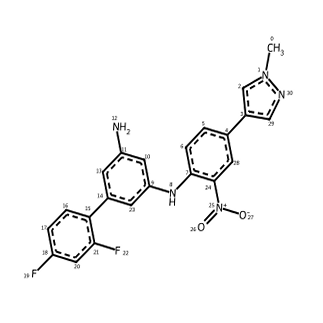 Cn1cc(-c2ccc(Nc3cc(N)cc(-c4ccc(F)cc4F)c3)c([N+](=O)[O-])c2)cn1